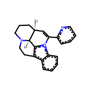 CC[C@@]12C=C(c3ccccn3)n3c4c(c5ccccc53)CCN(CCC1)[C@H]42